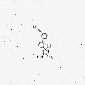 CC#Cc1cncc(-c2cccc(C3(C4CCC4)N=C(C)C(N)=N3)c2)c1